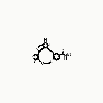 CCNC(=O)c1ccc2c(c1)/C=C/c1n[nH]c3cnc(cc13)-c1cnn(C)c1COCCO2